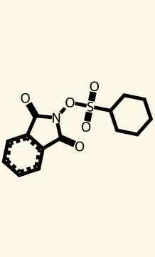 O=C1c2ccccc2C(=O)N1OS(=O)(=O)C1CCCCC1